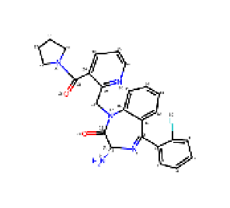 N[C@H]1N=C(c2ccccc2F)c2ccccc2N(Cc2ncccc2C(=O)N2CCCC2)C1=O